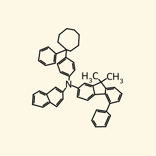 CC1(C)c2cc(N(c3ccc(C4(c5ccccc5)CCCCCCC4)cc3)c3ccc4ccccc4c3)ccc2-c2c(-c3ccccc3)cccc21